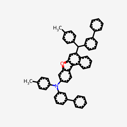 Cc1ccc(C(c2cccc(-c3ccccc3)c2)c2cc3oc4cc(N(c5ccc(C)cc5)c5cccc(-c6ccccc6)c5)ccc4c3c3ccccc23)cc1